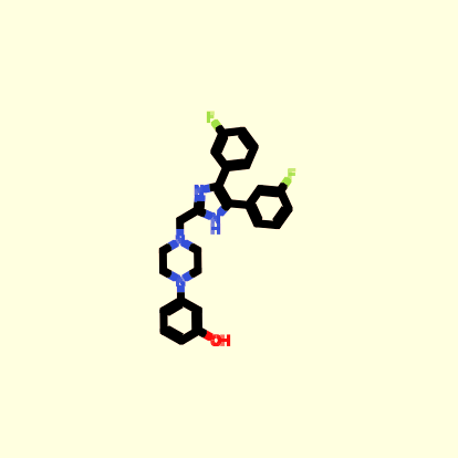 Oc1cccc(N2CCN(Cc3nc(-c4cccc(F)c4)c(-c4cccc(F)c4)[nH]3)CC2)c1